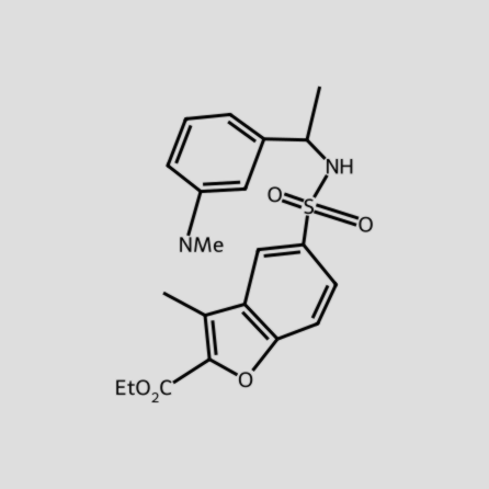 CCOC(=O)c1oc2ccc(S(=O)(=O)NC(C)c3cccc(NC)c3)cc2c1C